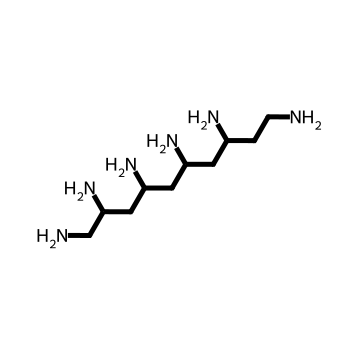 NCCC(N)CC(N)CC(N)CC(N)CN